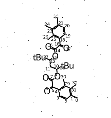 Cc1ccc(C(=O)C(=O)OC(CC(OC(=O)C(=O)c2ccc(C)c(C)c2C)C(C)(C)C)C(C)(C)C)c(C)c1C